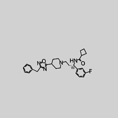 O=C(N[C@@H](CCN1CCC(c2nc(Cc3ccccc3)no2)CC1)c1cccc(F)c1)C1CCC1